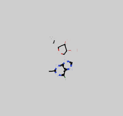 COC[C@H]1O[C@@H](n2cnc3c(Cl)nc(C)nc32)[C@H](O)[C@@H]1O